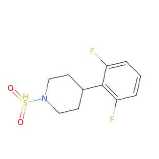 O=[SH](=O)N1CCC(c2c(F)cccc2F)CC1